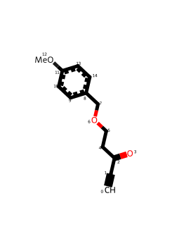 C#CC(=O)CCOCc1ccc(OC)cc1